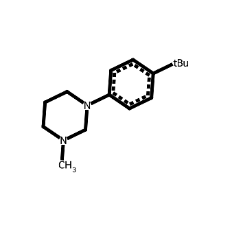 CN1CCCN(c2ccc(C(C)(C)C)cc2)C1